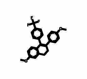 COc1ccc(C2=C(c3ccc(C(F)(F)F)cc3)c3ccc(OC)cc3CC2)cc1